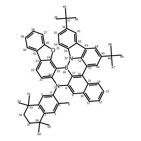 Cc1cc2c(cc1N1c3cc4ccccc4c4c3B(c3c1ccc1c3oc3ccccc31)n1c3ccc(C(C)(C)C)cc3c3cc(C(C)(C)C)cc-4c31)C(C)(C)CCC2(C)C